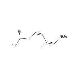 CCCC(CC)C/C=C\C(C)=C/NC